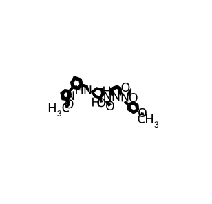 COc1ccc(CN2C(=O)COc3ccc(N4C(=O)O[C@H]5C[C@@H](NCc6cccc(-c7cccc(OC)n7)c6)CC[C@@H]54)nc32)cc1